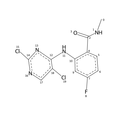 CNC(=O)c1ccc(F)cc1Nc1nc(Cl)ncc1Cl